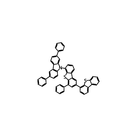 c1ccc(-c2ccc3c(c2)c2ccc(-c4ccccc4)cc2n3-c2cccc3c2sc2c(-c4ccccc4)cc(-c4cccc5c4sc4ccccc45)cc23)cc1